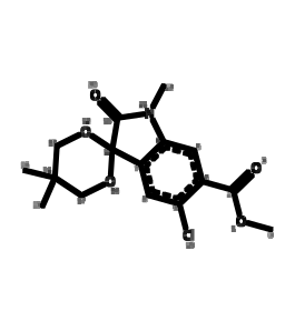 COC(=O)c1cc2c(cc1Cl)C1(OCC(C)(C)CO1)C(=O)N2C